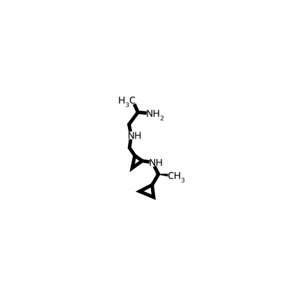 CC(N)CNCC1CC1N[C@@H](C)C1CC1